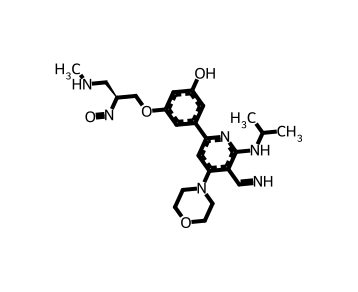 CNC[C@@H](COc1cc(O)cc(-c2cc(N3CCOCC3)c(C=N)c(NC(C)C)n2)c1)N=O